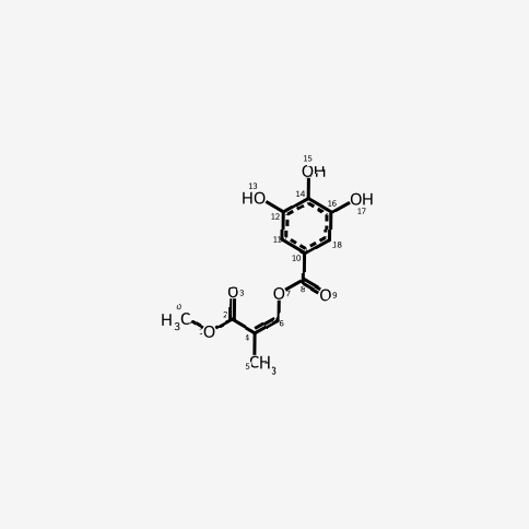 COC(=O)C(C)=COC(=O)c1cc(O)c(O)c(O)c1